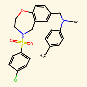 CC(=O)N(Cc1ccc2c(c1)CN(S(=O)(=O)c1ccc(Cl)cc1)CCO2)c1ccc(C)cc1